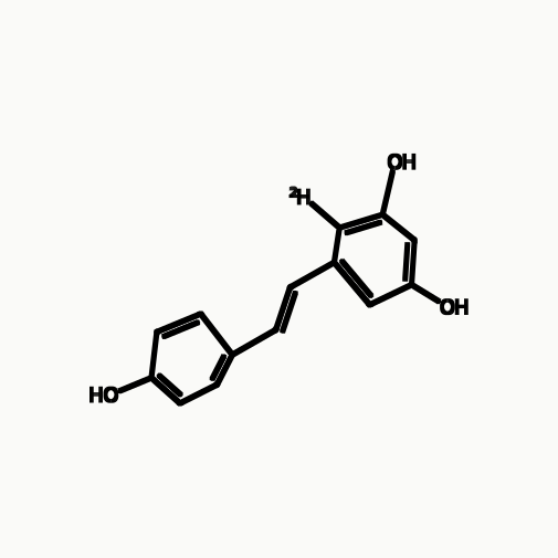 [2H]c1c(O)cc(O)cc1/C=C/c1ccc(O)cc1